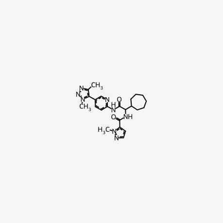 Cc1nnn(C)c1-c1ccc(NC(=O)C(NC(=O)c2ccnn2C)C2CCCCCC2)nc1